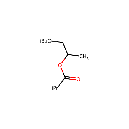 CC(C)COCC(C)OC(=O)C(C)C